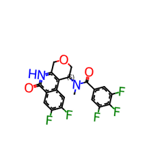 CN(C(=O)c1cc(F)c(F)c(F)c1)[C@@H]1COCc2[nH]c(=O)c3cc(F)c(F)cc3c21